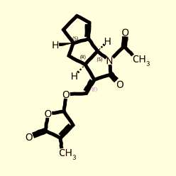 CC(=O)N1C(=O)/C(=C/OC2C=C(C)C(=O)O2)[C@H]2C[C@@H]3CCC=C3[C@H]21